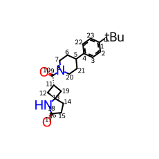 CC(C)(C)c1ccc(C2CCN(C(=O)[C@H]3C[C@]4(CCC(=O)N4)C3)CC2)cc1